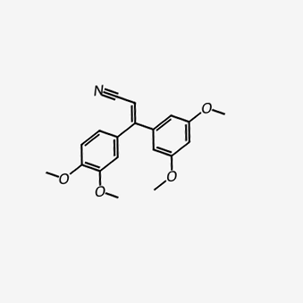 COc1cc(OC)cc(C(=CC#N)c2ccc(OC)c(OC)c2)c1